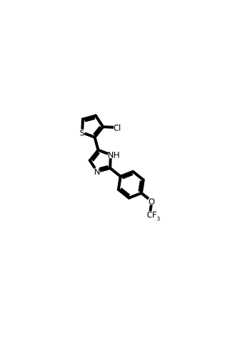 FC(F)(F)Oc1ccc(-c2ncc(-c3sccc3Cl)[nH]2)cc1